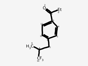 CCC(=O)c1ccc(CC(C)C(F)(F)F)cc1